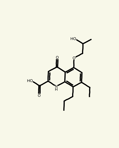 CCCc1c(CC)cc(OCC(C)O)c2c(=O)cc(C(=O)O)[nH]c12